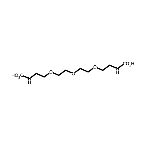 O=C(O)NCCOCCOCCOCCNC(=O)O